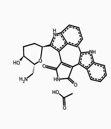 CC(=O)O.Cc1[nH]c2ccccc2c1C1=C(c2c([C@@H]3CC[C@H](O)[C@@H](CN)O3)[nH]c3ccccc23)C(=O)NC1=O